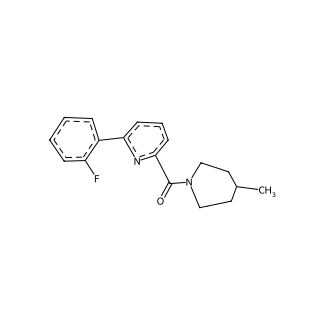 CC1CCN(C(=O)c2cccc(-c3ccccc3F)n2)CC1